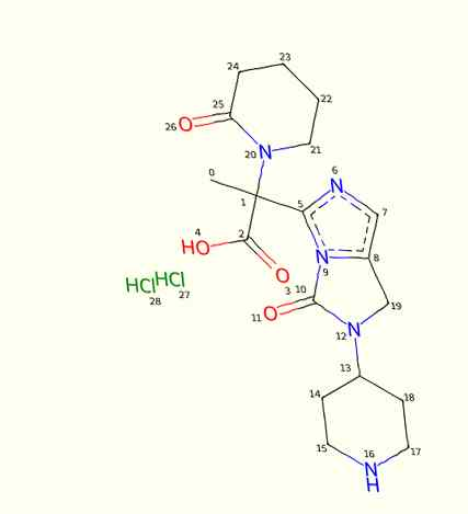 CC(C(=O)O)(c1ncc2n1C(=O)N(C1CCNCC1)C2)N1CCCCC1=O.Cl.Cl